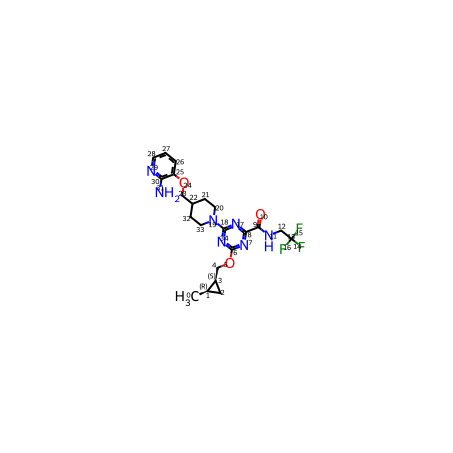 C[C@@H]1C[C@@H]1COc1nc(C(=O)NCC(F)(F)F)nc(N2CCC(COc3cccnc3N)CC2)n1